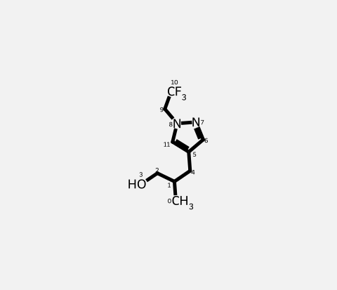 CC(CO)Cc1cnn(CC(F)(F)F)c1